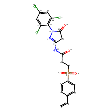 C=Cc1ccc(S(=O)(=O)CCC(=O)NC2=NN(c3c(Cl)cc(Cl)cc3Cl)C(=O)C2)cc1